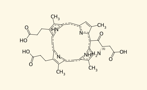 CC1=Cc2cc3[nH]c(cc4nc(cc5[nH]c(cc5C)c(C(=O)[C@@H](N)CC(=O)O)c1n2)C(C)=C4CCC(=O)O)c(CCC(=O)O)c3C